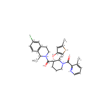 CCC[C@H]1N(C(=O)c2ncccc2C(F)(F)F)CCC[C@@]1(Oc1csc(C(F)(F)F)c1)C(=O)N1CCc2cc(F)ccc2C1C(=O)O